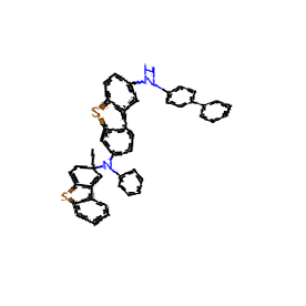 CC1(N(c2ccccc2)c2ccc3c(c2)sc2ccc(Nc4ccc(-c5ccccc5)cc4)cc23)C=c2c(sc3ccccc23)=CC1